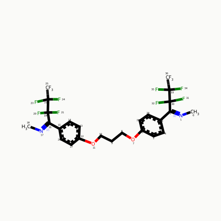 C/N=C(/c1ccc(OCCCOc2ccc(/C(=N/C)C(F)(F)C(F)(F)C(F)(F)F)cc2)cc1)C(F)(F)C(F)(F)C(F)(F)F